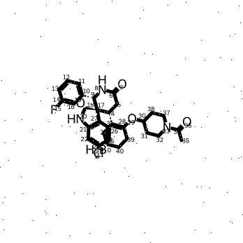 BC1=CC([C@H]2CC(=O)N[C@@H](c3cccc(F)c3)[C@]23C(=O)Nc2cc(Cl)ccc23)=C(OC2CCN(C(C)=O)CC2)CC1